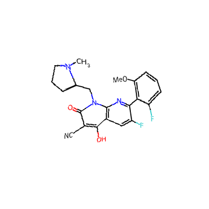 COc1cccc(F)c1-c1nc2c(cc1F)c(O)c(C#N)c(=O)n2CC1CCCN1C